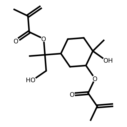 C=C(C)C(=O)OC1CC(C(C)(CO)OC(=O)C(=C)C)CCC1(C)O